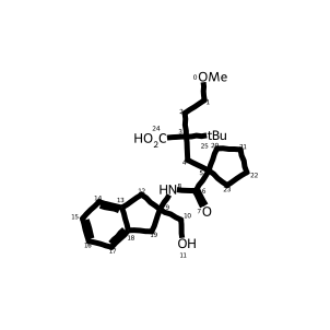 COCCC(CC1(C(=O)NC2(CO)Cc3ccccc3C2)CCCC1)(C(=O)O)C(C)(C)C